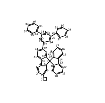 Clc1ccc2c(c1)C1(c3ccccc3-c3ccccc31)c1cc(-c3cc(-c4ccccc4)nc(-c4ccccc4)n3)ccc1-2